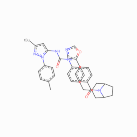 Cc1ccc(-n2nc(C(C)(C)C)cc2NC(=O)Nc2ccc(CC3CC4CCC(C3)N4C(=O)c3ccc(-c4cnco4)cc3)cc2)cc1